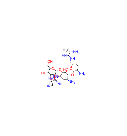 CC(N)C(=N)NC[C@@H]1CCC(N)[C@@H](OC2C(O)C(O[C@H]3OC(CO)C(O)[C@H](N)C3O)[C@H](NC(=N)C3(O)CNC3)C[C@@H]2N)O1